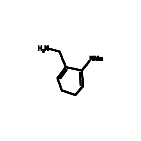 CNC1=CCCC=C1CN